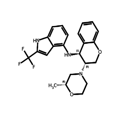 C[C@@H]1CN([C@H]2COc3ccccc3[C@@H]2Nc2cccc3[nH]c(C(F)(F)F)cc23)CCO1